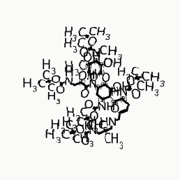 CN(C(=O)OC(C)(C)C)[C@@H]1[C@@H](O)[C@@H](O[C@H]2[C@H](NC(=O)[C@@H](O)CNC(=O)OC(C)(C)C)C[C@H](NC(=O)OC(C)(C)C)C([C@H]3OC(CNCC(C)(C)CNC(=O)OC(C)(C)C)=CC[C@H]3NC(=O)OC(C)(C)C)[C@@H]2O)OC[C@]1(C)O